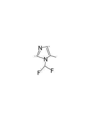 Cc1[c]n[c]n1C(F)F